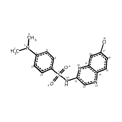 CN(C)c1ccc(S(=O)(=O)Nc2cnc3ccc(Cl)cc3n2)cc1